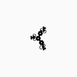 C=C(C)C(=O)Oc1ccc(-c2cc(OC(=O)C(=C)C)cc(-c3ccc(OC(=O)C(=C)C)cc3)c2)cc1